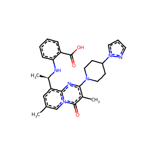 Cc1cc([C@@H](C)Nc2ccccc2C(=O)O)c2nc(N3CCC(n4cccn4)CC3)c(C)c(=O)n2c1